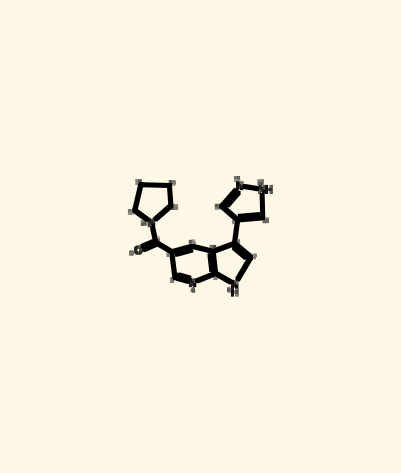 O=C(c1cnc2[nH]cc(-c3cn[nH]c3)c2c1)N1CCCC1